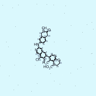 Cc1c(-c2cc3cc(Nc4ccc5c(c4)CN(C)C(=O)C5)ncc3c(Cl)c2F)cnc2c1N(C(=O)O)CCO2